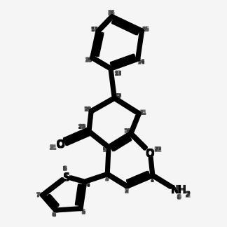 NC1=CC(c2cccs2)C2=C(CC(c3ccccc3)CC2=O)O1